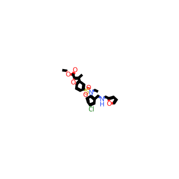 CCOC(=O)c1oc2ccc(S(=O)(=O)N(CC)c3ccc(Cl)cc3CNCc3ccco3)cc2c1C